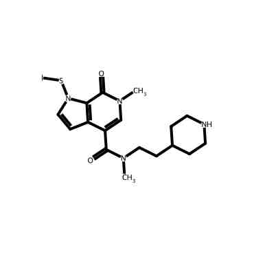 CN(CCC1CCNCC1)C(=O)c1cn(C)c(=O)c2c1ccn2SI